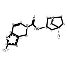 O=C(N[C@@H]1C[C@@H]2CCN(C2)C1)N1C=Cc2oc(S)cc2C1